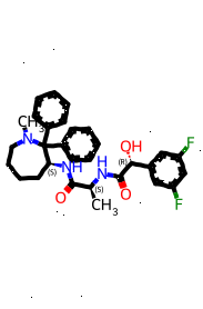 C[C@H](NC(=O)[C@H](O)c1cc(F)cc(F)c1)C(=O)N[C@H]1CCCCN(C)C1(c1ccccc1)c1ccccc1